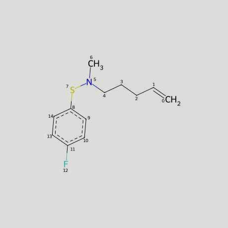 C=CCCCN(C)Sc1ccc(F)cc1